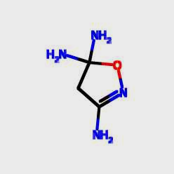 NC1=NOC(N)(N)C1